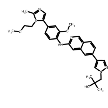 COCCn1c(-c2ccc(Nc3cc4cc(-c5cnn(CC(C)(C)O)c5)ccc4cn3)c(OC)c2)cnc1C